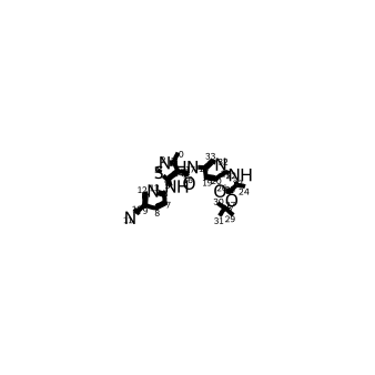 Cc1nsc(Nc2ccc(C#N)cn2)c1C(=O)Nc1ccc(NC(C)C(=O)OC(C)(C)C)nc1